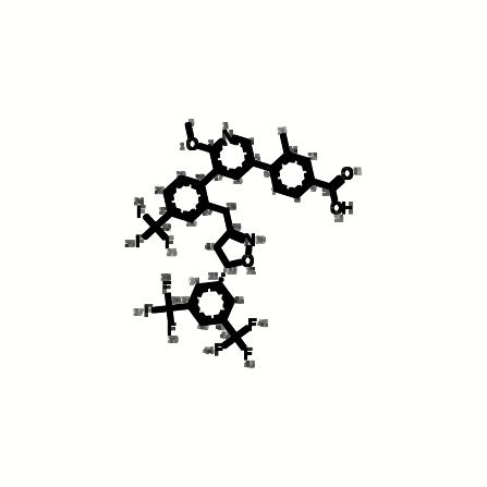 COc1ncc(-c2ccc(C(=O)O)cc2C)cc1-c1ccc(C(F)(F)F)cc1CC1=NO[C@H](c2cc(C(F)(F)F)cc(C(F)(F)F)c2)C1